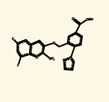 COC(=O)c1ccc(-n2cccn2)c(COc2cc3cc(F)cc(F)c3nc2N)c1